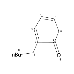 CCCCCC1=CC=CCC1=O